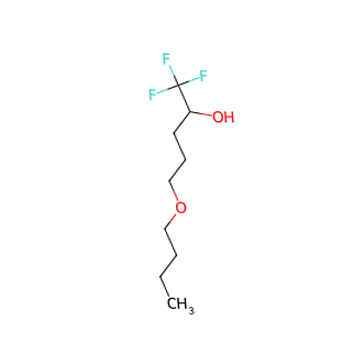 CCCCOCCCC(O)C(F)(F)F